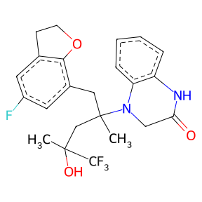 CC(Cc1cc(F)cc2c1OCC2)(CC(C)(O)C(F)(F)F)N1CC(=O)Nc2ccccc21